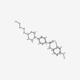 CCCCCC1COC(c2ccc(C(=O)Oc3ccc(CC)cc3C)cc2)OC1